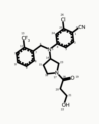 N#Cc1ccc(N(Cc2ccccc2C(F)(F)F)C2CCN(C(=O)CCO)C2)cc1Cl